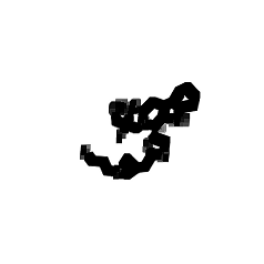 C[C@@H]1Cc2c([nH]c3ccccc23)[C@@H](c2cnc(CC3CN(CCCF)C3)s2)N1CC(F)(F)CO